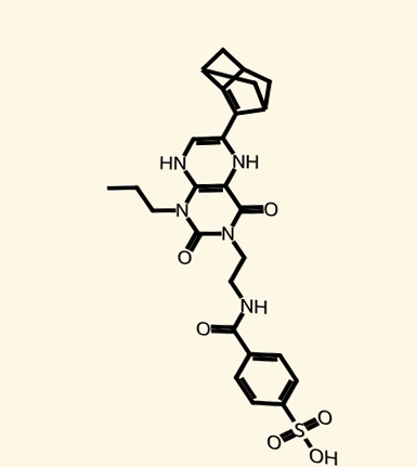 CCCn1c2c(c(=O)n(CCNC(=O)c3ccc(S(=O)(=O)O)cc3)c1=O)NC(C1=C3C4CC1CC3C4)=CN2